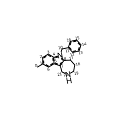 Cc1ccc2c(c1)c1c(n2Cc2ccccc2)CCCNC1